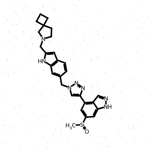 C[Si](=O)c1cc(-c2cn(Cc3ccc4cc(CN5CCC6(CCC6)C5)[nH]c4c3)nn2)c2cn[nH]c2c1